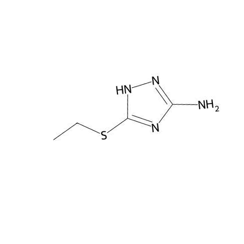 CCSc1nc(N)n[nH]1